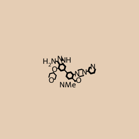 CNC(=O)c1ccc(-c2cc(OC3CCOCC3)c3c(N)n[nH]c3c2)cc1N1CCN(c2cccnc2)CC1